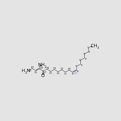 CCCCCCCC/C=C\CCCCCCCC(=O)C(N)=CCN